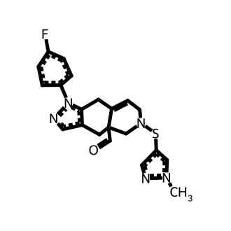 Cn1cc(SN2CC=C3Cc4c(cnn4-c4ccc(F)cc4)CC3(C=O)C2)cn1